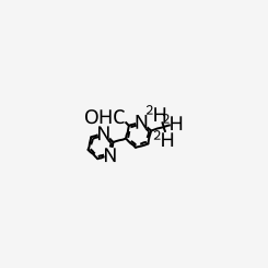 [2H]C([2H])([2H])c1ccc(-c2ncccn2)c(C=O)n1